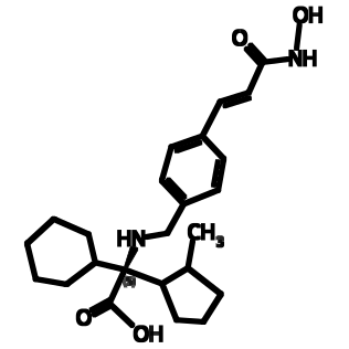 CC1CCCC1[C@](NCc1ccc(C=CC(=O)NO)cc1)(C(=O)O)C1CCCCC1